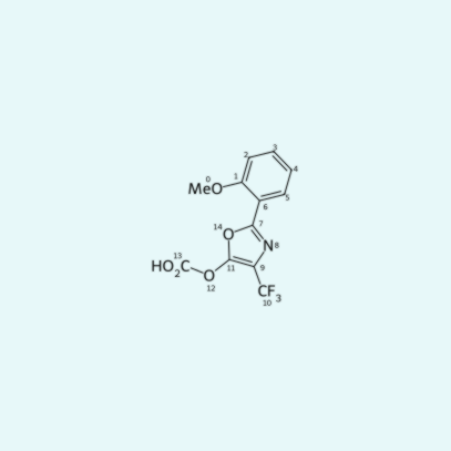 COc1ccccc1-c1nc(C(F)(F)F)c(OC(=O)O)o1